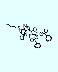 CCCCCSc1nc(Cl)nc2c1ncn2[C@@H]1O[C@H](COC(=O)c2ccccc2)[C@@H](OC(=O)c2ccccc2)[C@@H]1F